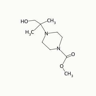 COC(=O)N1CCN(C(C)(C)CO)CC1